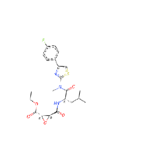 CCOC(=O)[C@H]1O[C@@H]1C(=O)N[C@@H](CC(C)C)C(=O)N(C)c1nc(-c2ccc(F)cc2)cs1